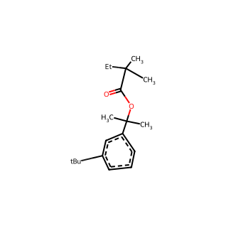 CCC(C)(C)C(=O)OC(C)(C)c1cccc(C(C)(C)C)c1